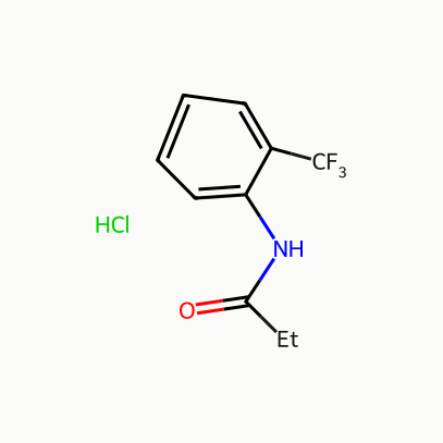 CCC(=O)Nc1ccccc1C(F)(F)F.Cl